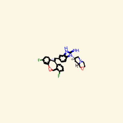 N=c1[nH]c2cc(/C=C3/c4ccc(F)cc4OCc4c(F)cccc43)ccc2n1[C@H]1C[C@@H]2COCCN2C1